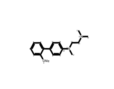 COc1ccccc1-c1ccc(N(C)CCN(C)C)cc1